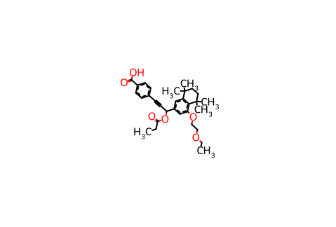 CCOCCOc1cc(C(C#Cc2ccc(C(=O)O)cc2)OC(=O)CC)cc2c1C(C)(C)CCC2(C)C